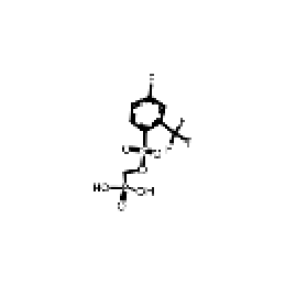 O=P(O)(O)COS(=O)(=O)c1ccc(F)cc1C(F)(F)F